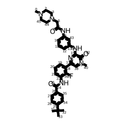 CN1CCN(CC(=O)Nc2cccc(Nc3nc(-c4cccc(NC(=O)c5ccc(C(C)(C)C)cc5)c4F)cn(C)c3=O)c2)CC1